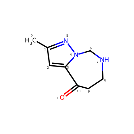 Cc1cc2n(n1)CNCCC2=O